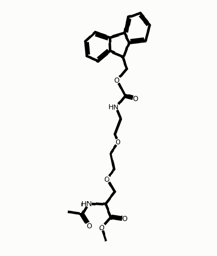 COC(=O)C(COCCOCCNC(=O)OCC1c2ccccc2-c2ccccc21)NC(C)=O